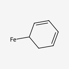 [Fe][CH]1C=CC=CC1